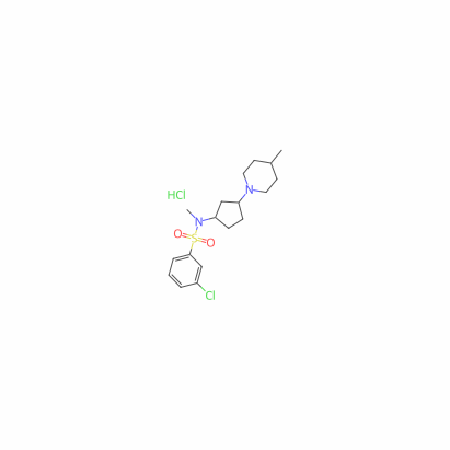 CC1CCN(C2CCC(N(C)S(=O)(=O)c3cccc(Cl)c3)C2)CC1.Cl